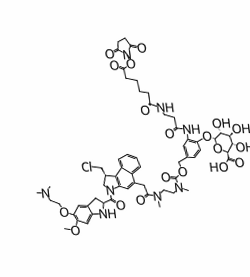 COc1cc2c(cc1OCCN(C)C)CC(C(=O)N1C[C@@H](CCl)c3c1cc(CC(=O)N(C)CCN(C)C(=O)OCc1ccc(O[C@H]4O[C@H](C(=O)O)[C@@H](O)[C@H](O)[C@H]4O)c(NC(=O)CCNC(=O)CCCCC(=O)ON4C(=O)CCC4=O)c1)c1ccccc31)N2